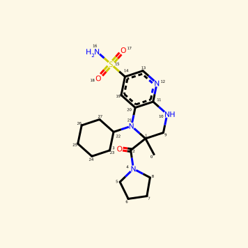 CC1(C(=O)N2CCCC2)CNc2ncc(S(N)(=O)=O)cc2N1C1CCCCC1